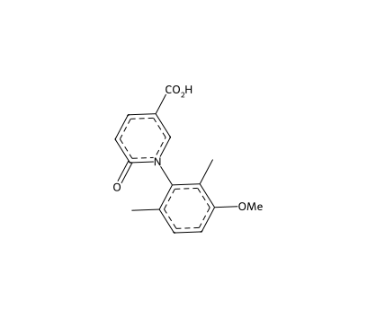 COc1ccc(C)c(-n2cc(C(=O)O)ccc2=O)c1C